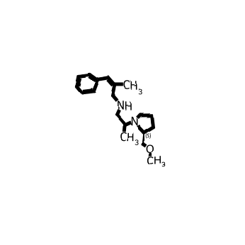 COC[C@@H]1CCCN1C(C)CNCC(C)=Cc1ccccc1